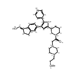 COCCN1CCN(CC(=O)N2CCCC(c3cc(-c4ccc5c(c4)CCC5=NO)c(-c4ccncc4)o3)C2)CC1